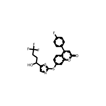 O=c1cc(-c2ccc(F)cc2)c2ccc(Sc3ncc(C(O)CCC(F)(F)F)s3)cc2o1